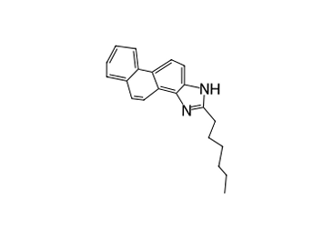 CCCCCCc1nc2c(ccc3c4ccccc4ccc32)[nH]1